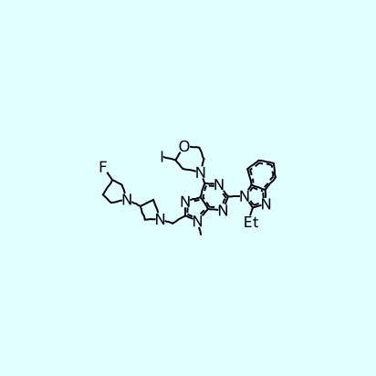 CCc1nc2ccccc2n1-c1nc(N2CCOC(I)C2)c2nc(CN3CC(N4CCC(F)C4)C3)n(C)c2n1